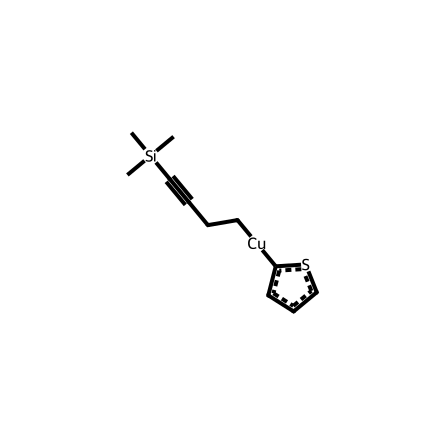 C[Si](C)(C)C#CC[CH2][Cu][c]1cccs1